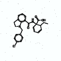 CCC1C=CC=CC1(NC(=O)c1cccc2c1N(Cc1ccc(Cl)cc1)CC2)C(=O)O